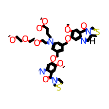 C=Nc1cc(OCc2cc(COc3cc4c(cc3OC)C(=O)N3CSC[C@H]3C=N4)cc(N(CCCC(=O)OC)CCOCCOCCOC)c2)c(OC)cc1C(=O)N1CCSC1